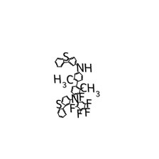 Cc1cc(Nc2ccc3sc4ccccc4c3c2)ccc1-c1ccc(N(c2ccc3sc4ccccc4c3c2)c2c(F)c(F)c(F)c(F)c2F)cc1C